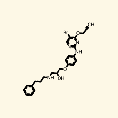 C#CCOc1nc(Nc2ccc(OCC(O)CNCCCc3ccccc3)cc2)ncc1Br